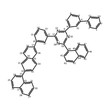 c1ccc(-c2cccc(-c3nc(-c4cccc(-c5ccc6cc(-c7cccc8ccccc78)ccc6c5)c4)nc(-c4cccc5ccccc45)n3)c2)cc1